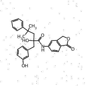 CC(C)(CC(O)(Cc1cccc(O)c1)C(=O)Nc1ccc2c(c1)COC2=O)c1ccccc1